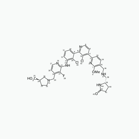 COc1nc(-c2ccnc(-c3cccc(Nc4nccc(CN5CC[C@@H](C(=O)O)C5)c4F)c3Cl)c2Cl)ccc1CNC[C@@H]1CCC(=O)N1